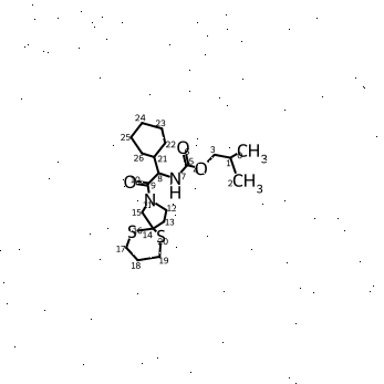 CC(C)COC(=O)NC(C(=O)N1CCC2(C1)SCCCS2)C1CCCCC1